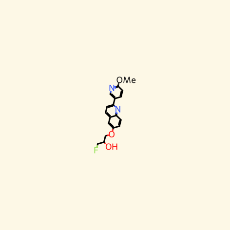 COc1ccc(-c2ccc3cc(OCC(O)CF)ccc3n2)cn1